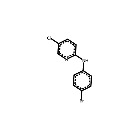 Clc1ccc(Nc2ccc(Br)cc2)nc1